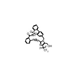 CCCCc1nc(C(F)(F)C(F)(F)F)c(CO)n1Cc1ccc(-c2ccccc2S(=O)(=O)NC(=O)c2ccccc2[N+](=O)[O-])cc1